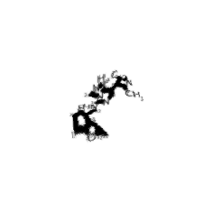 Cc1noc(C)c1-c1cnc(NCc2c(F)ccc3c2C2CC2O3)n2cnnc12